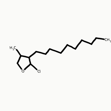 CCCCCCCCCCC1C(C)COC1Cl